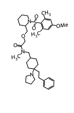 COc1cc(C)c(S(=O)(=O)N2CCCCC2COCC(=O)N(C)CC2CCC(CCc3ccccc3)(N3CCCC3)CC2)c(C)c1